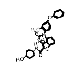 Cc1cc(Oc2ccccc2)ccc1N1C(=O)Nc2c(C(=O)N[C@H]3CC[C@H](O)CC3)sc3cccc1c23